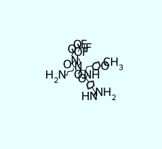 COc1ccc(CC(NC(=O)c2ccc(C(=N)N)cc2)C(=O)N2CCN(CC(=O)OC(=O)C(F)(F)F)C(=O)[C@@H]2CCCN)cc1